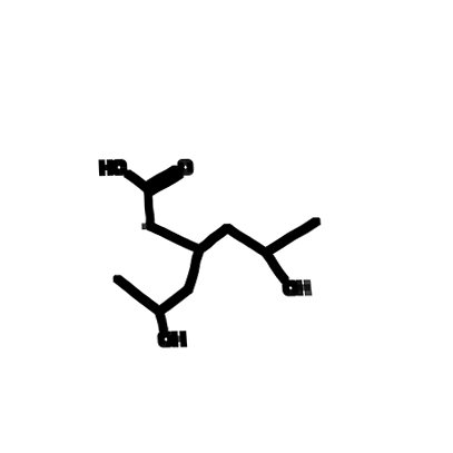 CC(O)CC([CH]C(=O)O)CC(C)O